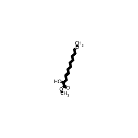 COCCCCCCCC=CCC(O)C(=O)OC